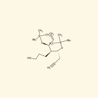 C#CC[C@@H](O[Si](C)(C)C(C)(C)C)[C@@H](CCCO)[C@H](C=C)O[Si](C)(C)C(C)(C)C